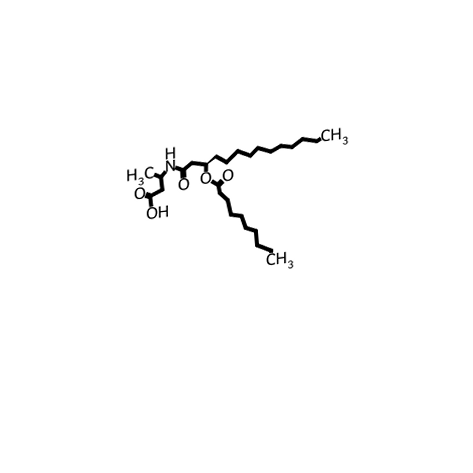 CCCCCCCCCCC[C@H](CC(=O)NC(C)CC(=O)O)OC(=O)CCCCCCCCC